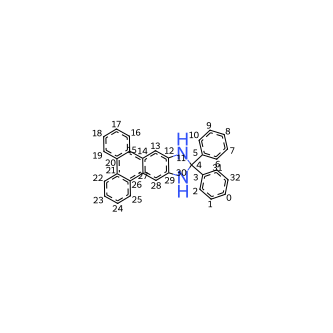 c1ccc(C2(c3ccccc3)Nc3cc4c5ccccc5c5ccccc5c4cc3N2)cc1